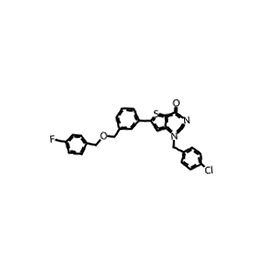 O=c1ncn(Cc2ccc(Cl)cc2)c2cc(-c3cccc(COCc4ccc(F)cc4)c3)sc12